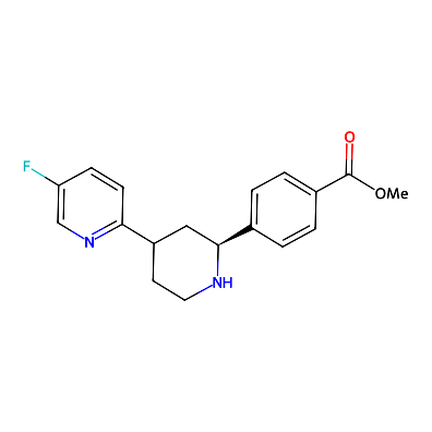 COC(=O)c1ccc([C@@H]2CC(c3ccc(F)cn3)CCN2)cc1